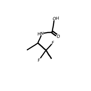 CC(NC(=O)O)C(C)(F)F